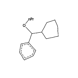 CCCOC(c1ccccc1)C1CCCCC1